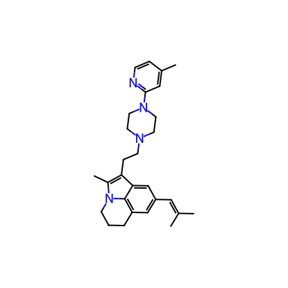 CC(C)=Cc1cc2c3c(c1)c(CCN1CCN(c4cc(C)ccn4)CC1)c(C)n3CCC2